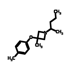 CCCC(C)N1CC(C)(Oc2ccc(C)cc2)C1